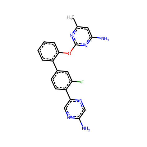 Cc1cc(N)nc(Oc2ccccc2-c2ccc(-c3cnc(N)cn3)c(F)c2)n1